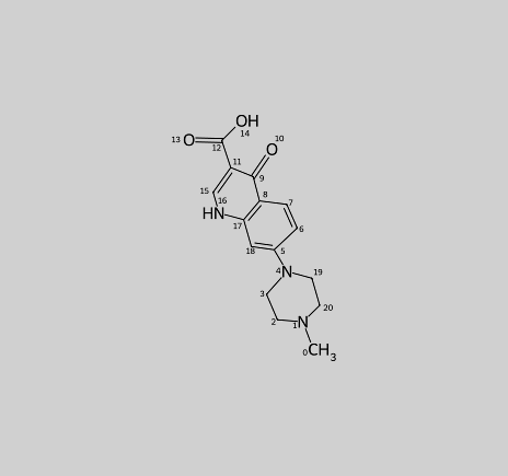 CN1CCN(c2ccc3c(=O)c(C(=O)O)c[nH]c3c2)CC1